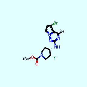 [2H]c1nc(N[C@H]2CCN(C(=O)OC(C)(C)C)C[C@H]2F)nn2ccc(Br)c12